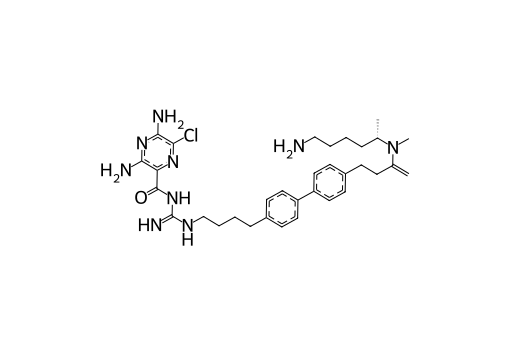 C=C(CCc1ccc(-c2ccc(CCCCNC(=N)NC(=O)c3nc(Cl)c(N)nc3N)cc2)cc1)N(C)[C@@H](C)CCCCN